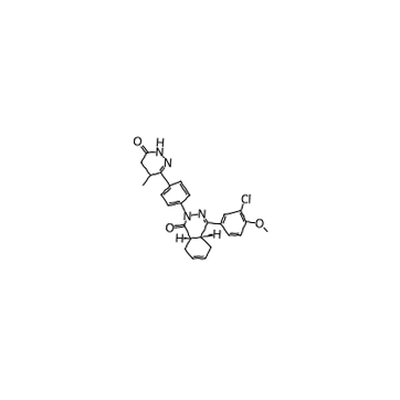 COc1ccc(C2=NN(c3ccc(C4=NNC(=O)CC4C)cc3)C(=O)[C@H]3CC=CC[C@@H]23)cc1Cl